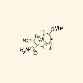 COc1cc(F)c(CC(CC#N)C(N)=O)c(F)c1